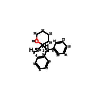 [SiH3]C1([SiH](c2ccccc2)c2ccccc2)CCCCO1